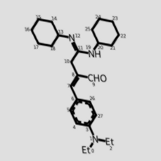 CCN(CC)c1ccc(/C=C(\C=O)C/C(=N\C2CCCCC2)NC2CCCCC2)cc1